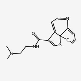 CN(C)CCNC(=O)C1=CSC23CC=CC=C2N=CC=C13